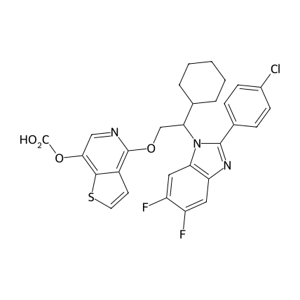 O=C(O)Oc1cnc(OCC(C2CCCCC2)n2c(-c3ccc(Cl)cc3)nc3cc(F)c(F)cc32)c2ccsc12